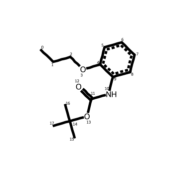 C[CH]COc1ccccc1NC(=O)OC(C)(C)C